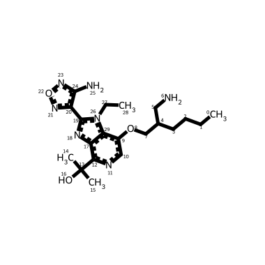 CCCCC(CN)COc1cnc(C(C)(C)O)c2nc(-c3nonc3N)n(CC)c12